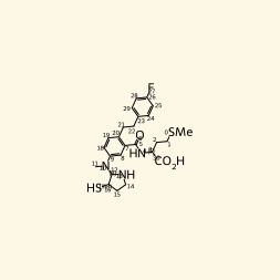 CSCC[C@H](NC(=O)c1cc(N(C)[C@H]2NCC[C@H]2S)ccc1CCc1ccc(F)cc1)C(=O)O